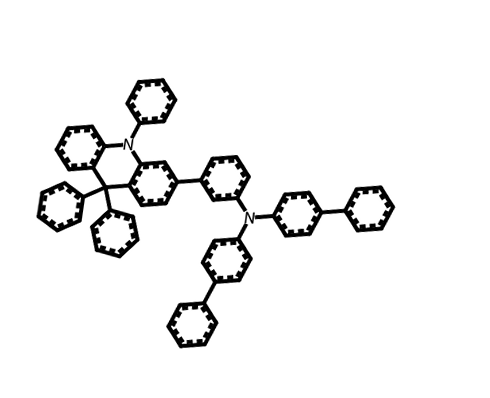 c1ccc(-c2ccc(N(c3ccc(-c4ccccc4)cc3)c3cccc(-c4ccc5c(c4)N(c4ccccc4)c4ccccc4C5(c4ccccc4)c4ccccc4)c3)cc2)cc1